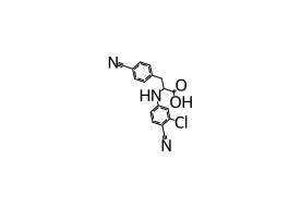 N#Cc1ccc(CC(Nc2ccc(C#N)c(Cl)c2)C(=O)O)cc1